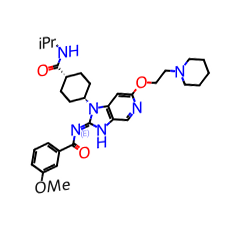 COc1cccc(C(=O)/N=c2\[nH]c3cnc(OCCN4CCCCC4)cc3n2[C@H]2CC[C@@H](C(=O)NC(C)C)CC2)c1